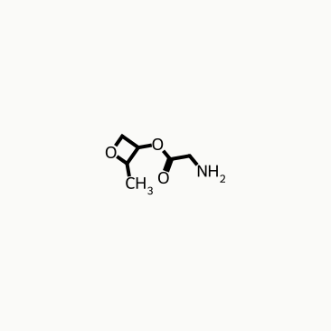 CC1OCC1OC(=O)CN